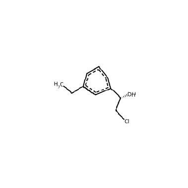 CCc1cccc([C@H](O)CCl)c1